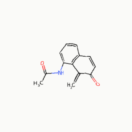 C=C1C(=O)C=Cc2cccc(NC(C)=O)c21